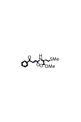 COC(=O)[C@H](CCSC)NC(=O)/C=C/C(=O)c1ccccc1